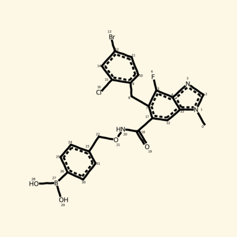 Cn1cnc2c(F)c(Cc3ccc(Br)cc3Cl)c(C(=O)NOCc3ccc(B(O)O)cc3)cc21